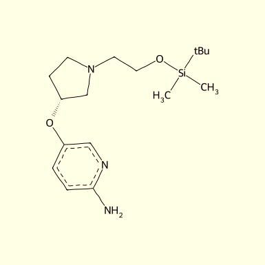 CC(C)(C)[Si](C)(C)OCCN1CC[C@@H](Oc2ccc(N)nc2)C1